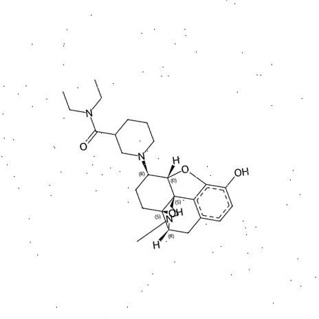 CCN(CC)C(=O)C1CCCN([C@@H]2CC[C@@]3(O)[C@H]4Cc5ccc(O)c6c5[C@@]3(CCN4C)[C@H]2O6)C1